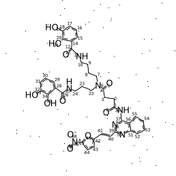 O=C(CCC(=O)N(CCCCNC(=O)c1cccc(O)c1O)CCCNC(=O)c1cccc(O)c1O)Nc1nc(/C=C/c2ccc([N+](=O)[O-])o2)nc2ccccc12